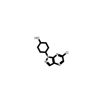 OC1CCC(n2ncc3ncc(Cl)nc32)CC1